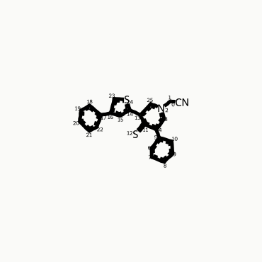 N#CCn1cc(-c2ccccc2)c(=S)c(-c2cc(-c3ccccc3)cs2)c1